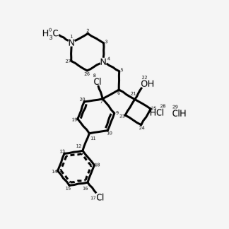 CN1CCN(CC(C2(Cl)C=CC(c3cccc(Cl)c3)C=C2)C2(O)CCC2)CC1.Cl.Cl